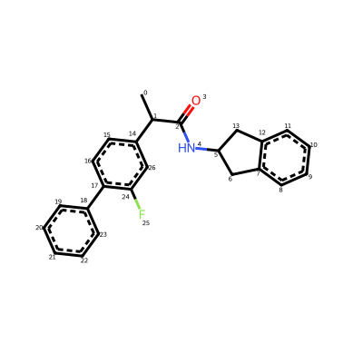 CC(C(=O)NC1Cc2ccccc2C1)c1ccc(-c2ccccc2)c(F)c1